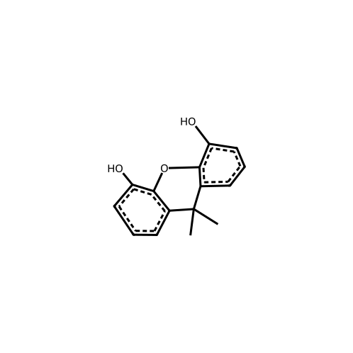 CC1(C)c2cccc(O)c2Oc2c(O)cccc21